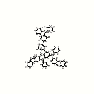 c1ccc(N(c2ccc3sc4ccccc4c3c2)c2cc(N(c3ccccc3)c3ccc4sc5ccccc5c4c3)c3sc4ccc(-c5ccc6c(c5)c5ccccc5n6-c5ccccc5)cc4c3c2)cc1